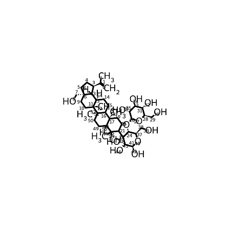 C=C(C)[C@@H]1CC[C@]2(CO)CC[C@]3(C)[C@H](CCC4[C@@]5(C)CCC([C@@]6(O)[C@H](O[C@@H]7O[C@H](CO)[C@@H](O)[C@H](O)[C@H]7O)[C@@H](CO)O[C@@H](O)[C@@H]6O)C(C)(C)[C@@H]5CC[C@]43C)[C@@H]12